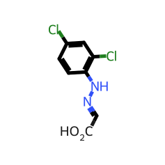 O=C(O)C=NNc1ccc(Cl)cc1Cl